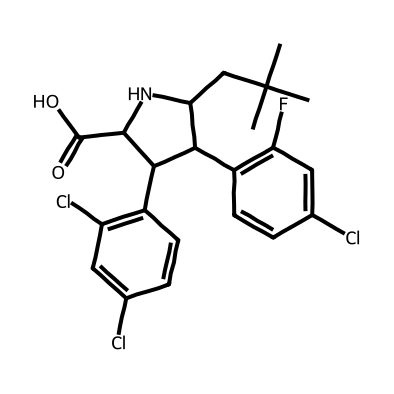 CC(C)(C)CC1NC(C(=O)O)C(c2ccc(Cl)cc2Cl)C1c1ccc(Cl)cc1F